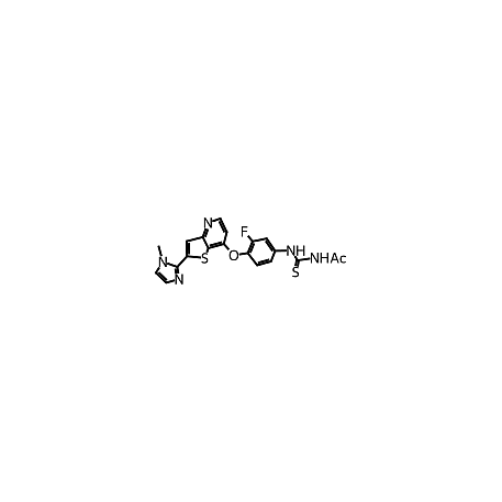 CC(=O)NC(=S)Nc1ccc(Oc2ccnc3cc(-c4nccn4C)sc23)c(F)c1